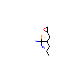 CCCC(CC1CO1)C(N)(N)P